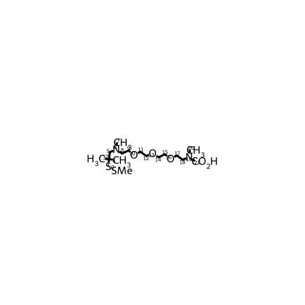 CSSC(C)(C)CN(C)CCOCCOCCOCCN(C)C(=O)O